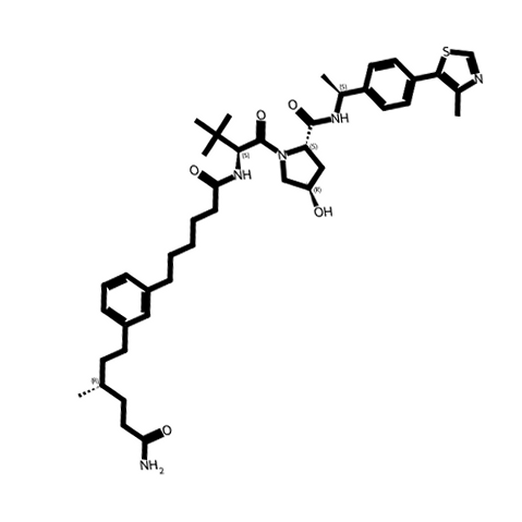 Cc1ncsc1-c1ccc([C@H](C)NC(=O)[C@@H]2C[C@@H](O)CN2C(=O)[C@@H](NC(=O)CCCCCc2cccc(CC[C@@H](C)CCC(N)=O)c2)C(C)(C)C)cc1